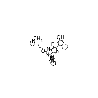 CN1CCC[C@H]1CCCOc1nc(N2CC3CCC(C2)N3)c2cnc(-c3cc(O)cc4ccccc34)c(F)c2n1